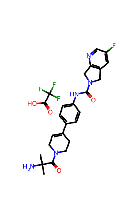 CC(C)(N)C(=O)N1CC=C(c2ccc(NC(=O)N3Cc4cc(F)cnc4C3)cc2)CC1.O=C(O)C(F)(F)F